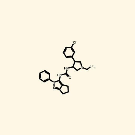 O=C(Nc1c2c(nn1-c1ccccc1)CCC2)NC1CN(CC(F)(F)F)CC1c1cccc(Cl)c1